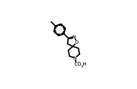 Cc1ccc(C2=NOC3(CCN(C(=O)O)CC3)C2)cc1